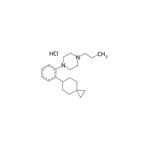 CCCN1CCN(c2ccccc2C2CCC3(CC2)CC3)CC1.Cl